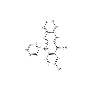 N=C(c1cccc(Br)c1)c1cc2ccccc2cc1Nc1ccccc1